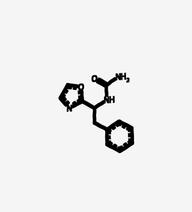 NC(=O)NC(Cc1ccccc1)c1ncco1